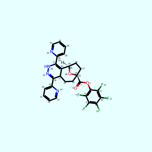 O=C(Oc1c(F)c(F)c(F)c(F)c1F)[C@]12CCC3C(c4ccccn4)=NNC(c4ccccn4)=C3[C@@H](CC1)O2